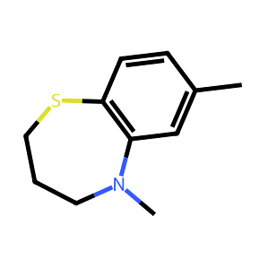 Cc1ccc2c(c1)N(C)CCCS2